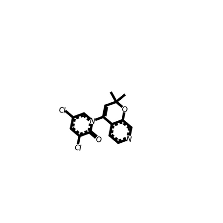 CC1(C)C=C(n2cc(Cl)cc(Cl)c2=O)c2ccncc2O1